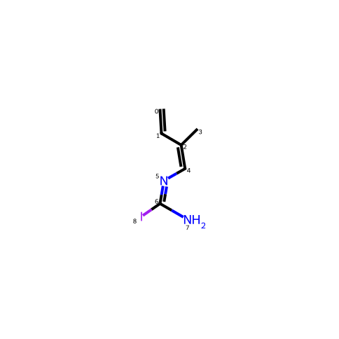 C=C/C(C)=C\N=C(/N)I